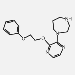 c1ccc(OCCOc2nccnc2N2CCCNCC2)cc1